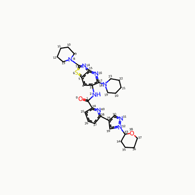 O=C(Nc1cc2sc(N3CCCCC3)nc2nc1N1CCCCC1)c1cccc(-c2cnn(C3CCCCO3)c2)n1